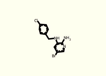 Nc1ncc(Br)cc1NCc1ccc(Cl)cc1